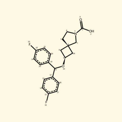 O=C(O)N1CC[C@]2(C1)C[C@H](OC(c1ccc(F)cc1)c1ccc(F)cc1)C2